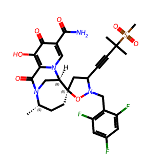 C[C@H]1CC[C@@]2(CC(C#CC(C)(C)S(C)(=O)=O)N(Cc3c(F)cc(F)cc3F)O2)[C@H]2CN1C(=O)c1c(O)c(=O)c(C(N)=O)cn12